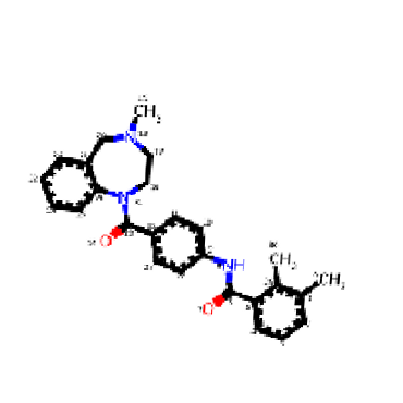 Cc1cccc(C(=O)Nc2ccc(C(=O)N3CCN(C)Cc4ccccc43)cc2)c1C